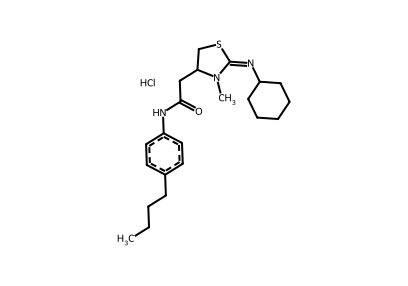 CCCCc1ccc(NC(=O)CC2CSC(=NC3CCCCC3)N2C)cc1.Cl